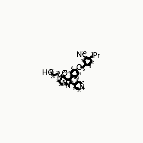 CC(C)c1ccc(COc2ccc(-c3c(-c4ccncc4)nn4c3C(=O)N(CCO)CC4)cc2)cc1C#N